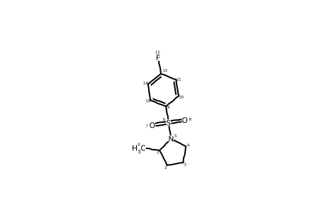 CC1CCCN1S(=O)(=O)c1ccc(F)cc1